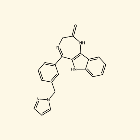 O=C1CN=C(c2cccc(Cn3cccn3)c2)c2[nH]c3ccccc3c2N1